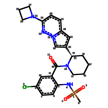 CS(=O)(=O)Nc1ccc(Cl)cc1C(=O)N1CCCC[C@H]1c1cc2ccc(N3CCC3)nn2c1